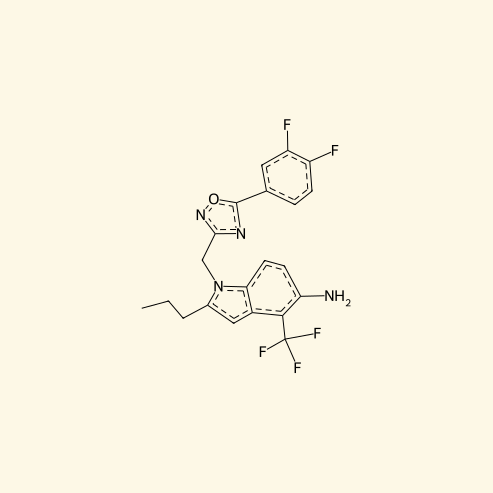 CCCc1cc2c(C(F)(F)F)c(N)ccc2n1Cc1noc(-c2ccc(F)c(F)c2)n1